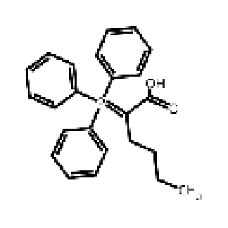 CCCCC(C(=O)O)=P(c1ccccc1)(c1ccccc1)c1ccccc1